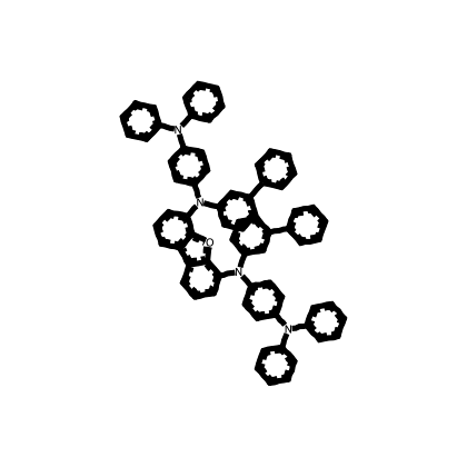 c1ccc(-c2cccc(N(c3ccc(N(c4ccccc4)c4ccccc4)cc3)c3cccc4c3oc3c(N(c5ccc(N(c6ccccc6)c6ccccc6)cc5)c5cccc(-c6ccccc6)c5)cccc34)c2)cc1